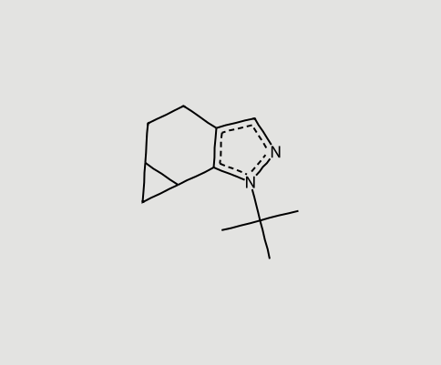 CC(C)(C)n1ncc2c1C1CC1CC2